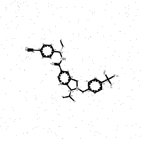 CC[C@H](NC(=O)c1cnc2c(c1)CN(Cc1ccc(C(F)(F)F)cc1)[C@H]2C(C)C)c1ccc(C#N)cc1